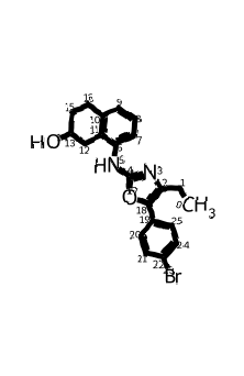 CCc1nc(Nc2cccc3c2CC(O)CC3)oc1-c1ccc(Br)cc1